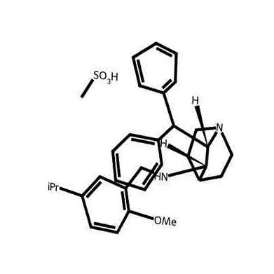 COc1ccc(C(C)C)cc1CN[C@H]1C2CCN(CC2)[C@H]1C(c1ccccc1)c1ccccc1.CS(=O)(=O)O